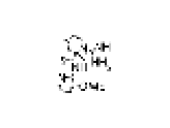 COc1cccnc1NC(=S)C1(C)C=C(C)C=CN1C(=N)N